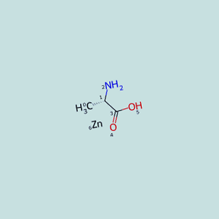 C[C@H](N)C(=O)O.[Zn]